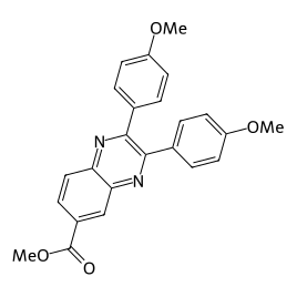 COC(=O)c1ccc2nc(-c3ccc(OC)cc3)c(-c3ccc(OC)cc3)nc2c1